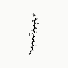 C=C=CCNCCCCNCCCCNCC=C=C